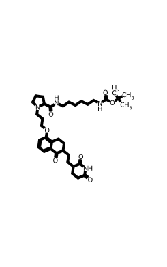 CC(C)(C)OC(=O)NCCCCCCNC(=O)C1CCCN1CCCOc1cccc2c1CCC(CCC1CCC(=O)NC1=O)C2=O